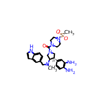 CN(Cc1ccc2[nH]ccc2c1)C1CN(C(=O)N2CCN(S(C)(=O)=O)CC2)C[C@@H]1c1ccc(N)c(N)c1